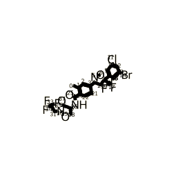 Cc1cc(C2=NOC(c3cc(Cl)cc(Br)c3)(C(F)(F)F)C2)ccc1C(=O)N[C@@H]1CON(CC(F)(F)F)C1=O